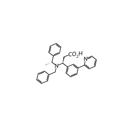 C[C@H](c1ccccc1)N(Cc1ccccc1)[C@@H](CC(=O)O)c1cccc(-c2ccccn2)c1